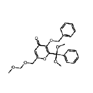 COCOCc1cc(=O)c(OCc2ccccc2)c(C(OC)(OC)c2ccccc2)o1